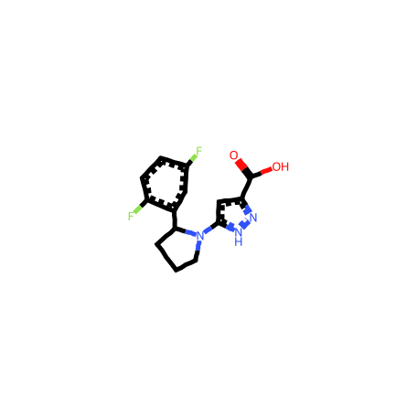 O=C(O)c1cc(N2CCCC2c2cc(F)ccc2F)[nH]n1